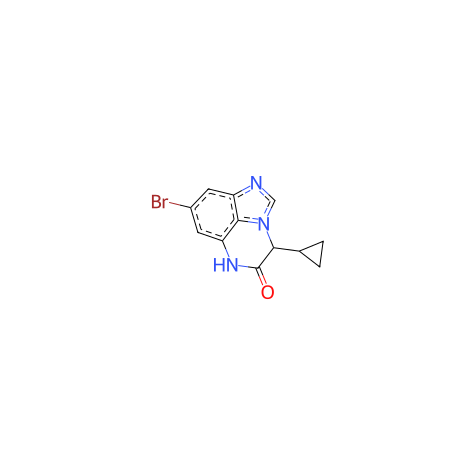 O=C1Nc2cc(Br)cc3ncn(c23)C1C1CC1